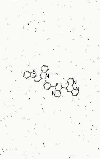 c1cc(-c2nc3ccccc3c3c2ccc2c4ccccc4sc23)cc(-c2ccc(-c3cc4cccnc4c4ncccc34)c3cccnc23)c1